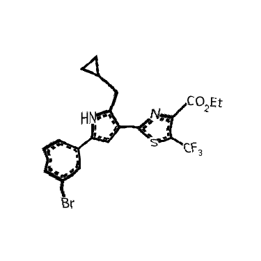 CCOC(=O)c1nc(-c2cc(-c3cccc(Br)c3)[nH]c2CC2CC2)sc1C(F)(F)F